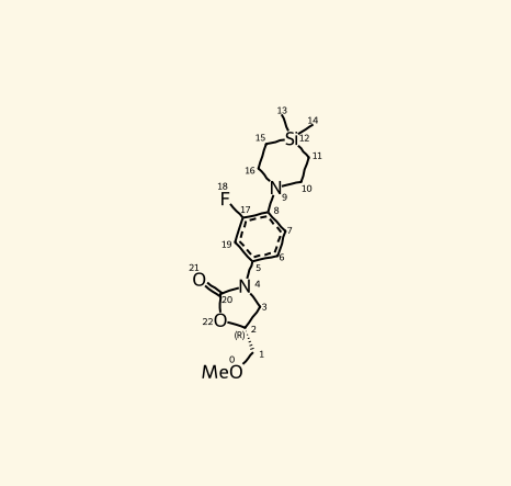 COC[C@H]1CN(c2ccc(N3CC[Si](C)(C)CC3)c(F)c2)C(=O)O1